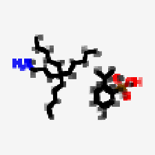 CCCCCC(CCCN)(CCCCC)CCCCC.Cc1ccc(C(C)C)c(S(=O)(=O)O)c1